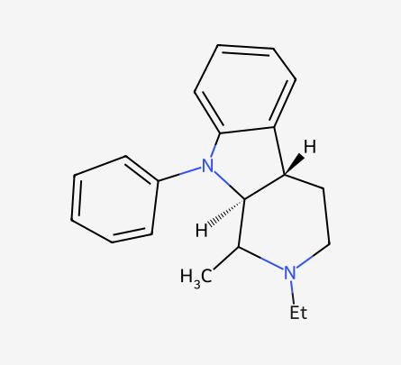 CCN1CC[C@H]2c3ccccc3N(c3ccccc3)[C@@H]2C1C